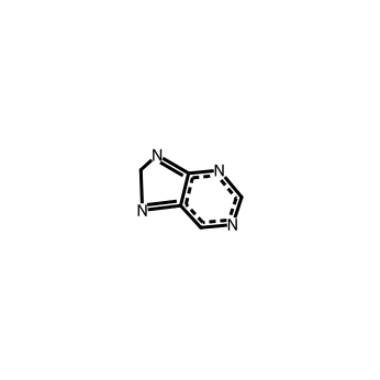 c1ncc2c(n1)=NCN=2